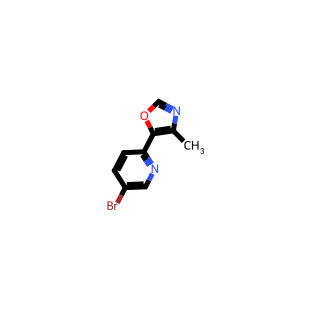 Cc1ncoc1-c1ccc(Br)cn1